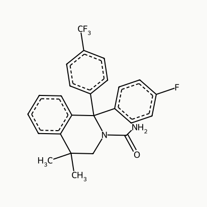 CC1(C)CN(C(N)=O)C(c2ccc(F)cc2)(c2ccc(C(F)(F)F)cc2)c2ccccc21